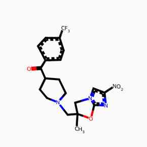 CC1(CN2CCC(C(=O)c3ccc(C(F)(F)F)cc3)CC2)Cn2cc([N+](=O)[O-])nc2O1